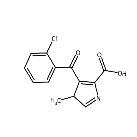 CC1C=NC(C(=O)O)=C1C(=O)c1ccccc1Cl